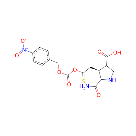 NC(=O)C1NCC(C(=O)O)[C@@H]1CC(=S)OC(=O)OCc1ccc([N+](=O)[O-])cc1